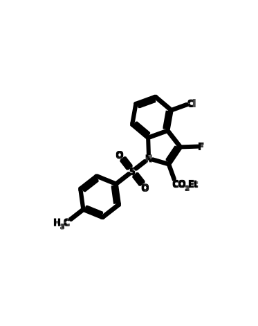 CCOC(=O)c1c(F)c2c(Cl)cccc2n1S(=O)(=O)c1ccc(C)cc1